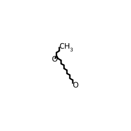 CCCCC1OC1CCCCCCCCCC=O